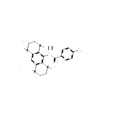 CC1(C)CCC(C)(C)c2c1cc1c(c2NC(=O)c2ccc(NC(=O)O)cc2)C(C)(C)CCC1(C)C